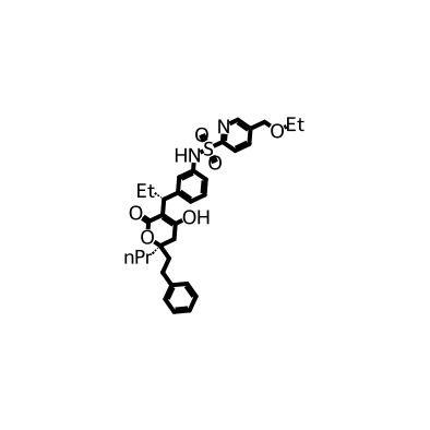 CCC[C@@]1(CCc2ccccc2)CC(O)=C([C@H](CC)c2cccc(NS(=O)(=O)c3ccc(COCC)cn3)c2)C(=O)O1